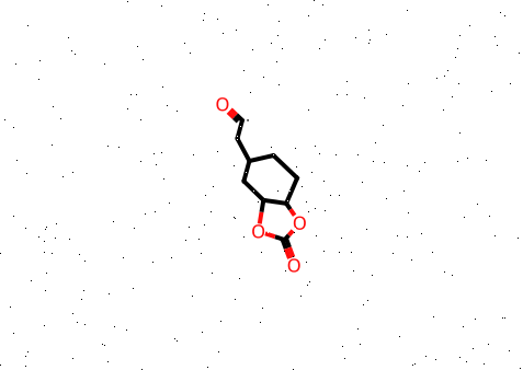 O=[C]CC1CCC2OC(=O)OC2C1